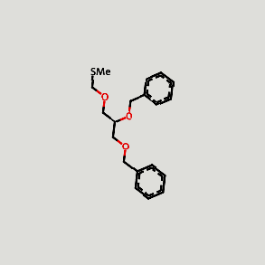 CSCOCC(COCc1ccccc1)OCc1ccccc1